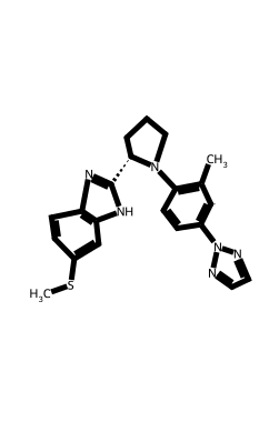 CSc1ccc2nc([C@@H]3CCCN3c3ccc(-n4nccn4)[c]c3C)[nH]c2c1